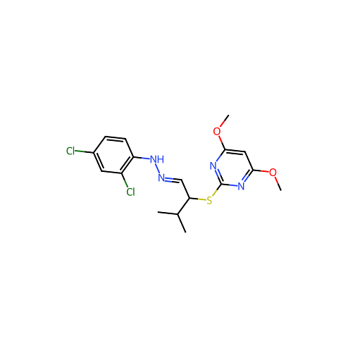 COc1cc(OC)nc(SC(/C=N/Nc2ccc(Cl)cc2Cl)C(C)C)n1